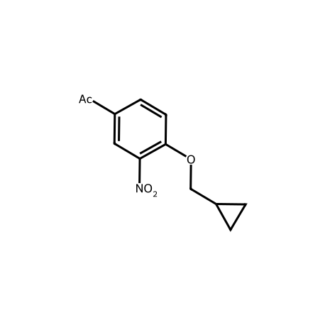 CC(=O)c1ccc(OCC2CC2)c([N+](=O)[O-])c1